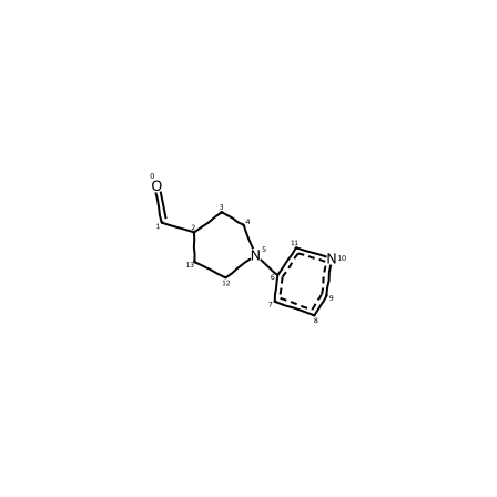 O=CC1CCN(c2cccnc2)CC1